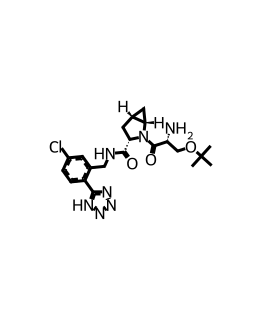 CC(C)(C)OC[C@@H](N)C(=O)N1[C@H](C(=O)NCc2cc(Cl)ccc2-c2nnn[nH]2)C[C@@H]2C[C@@H]21